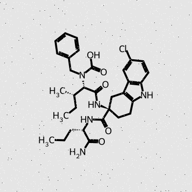 CCC[C@H](NC(=O)[C@@]1(NC(=O)[C@H]([C@@H](C)CC)N(Cc2ccccc2)C(=O)O)CCc2[nH]c3ccc(Cl)cc3c2C1)C(N)=O